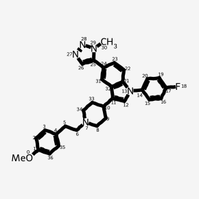 COc1ccc(CCN2CCC(c3cn(-c4ccc(F)cc4)c4ccc(-c5cnnn5C)cc34)CC2)cc1